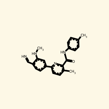 CNc1cc(-c2ccc(C)c(C(=O)Nc3ccc(C)cc3)n2)ccc1C=N